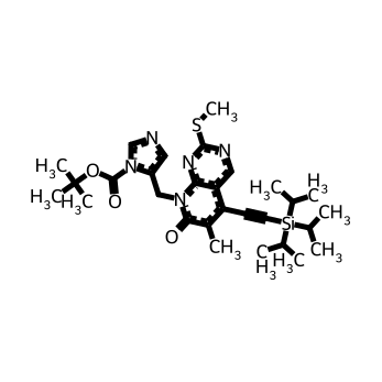 CSc1ncc2c(C#C[Si](C(C)C)(C(C)C)C(C)C)c(C)c(=O)n(Cc3cncn3C(=O)OC(C)(C)C)c2n1